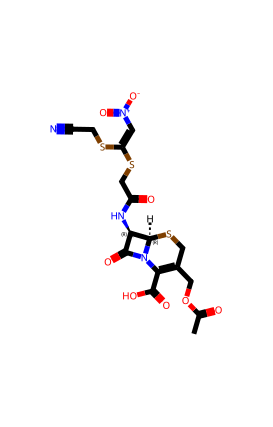 CC(=O)OCC1=C(C(=O)O)N2C(=O)[C@@H](NC(=O)CSC(=C[N+](=O)[O-])SCC#N)[C@H]2SC1